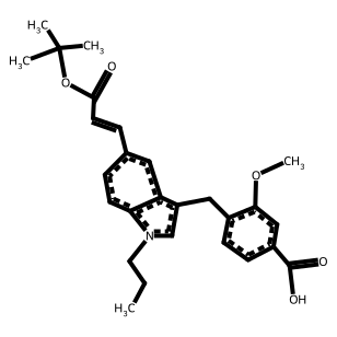 CCCn1cc(Cc2ccc(C(=O)O)cc2OC)c2cc(/C=C/C(=O)OC(C)(C)C)ccc21